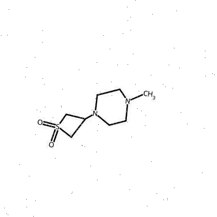 CN1CCN(C2CS(=O)(=O)C2)CC1